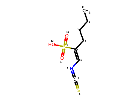 CCCC/C(=C/N=C=S)S(=O)(=O)O